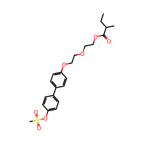 CCC(C)C(=O)OCCOCCOc1ccc(-c2ccc(OS(C)(=O)=O)cc2)cc1